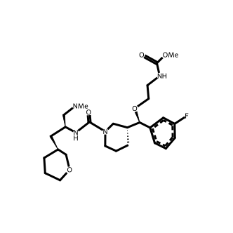 CNC[C@H](C[C@@H]1CCCOC1)NC(=O)N1CCC[C@@H]([C@@H](OCCNC(=O)OC)c2cccc(F)c2)C1